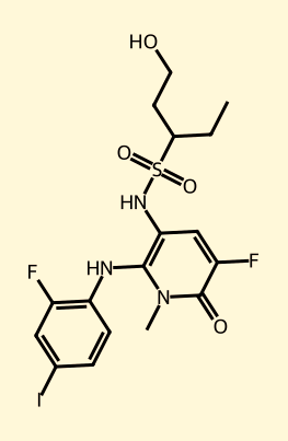 CCC(CCO)S(=O)(=O)Nc1cc(F)c(=O)n(C)c1Nc1ccc(I)cc1F